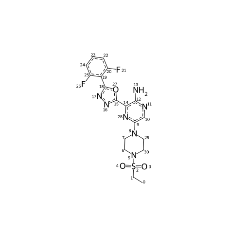 CCS(=O)(=O)N1CCN(c2cnc(N)c(-c3nnc(-c4c(F)cccc4F)o3)n2)CC1